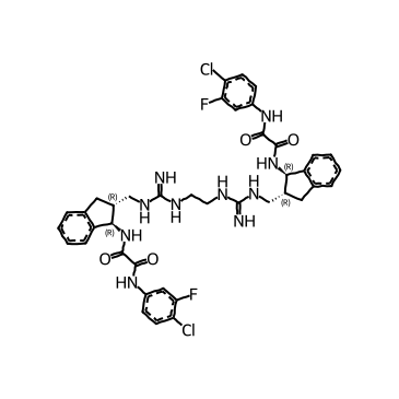 N=C(NCCNC(=N)NC[C@H]1Cc2ccccc2[C@@H]1NC(=O)C(=O)Nc1ccc(Cl)c(F)c1)NC[C@H]1Cc2ccccc2[C@@H]1NC(=O)C(=O)Nc1ccc(Cl)c(F)c1